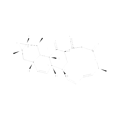 C[C@@H]1C(=O)O[C@@H](C)/C=C/C=C\[C@H]2CC(Cl)(C1=O)C(=O)[C@@H]1[C@H]2C=C[C@@H]2C[C@]3(C)O[C@@H]3[C@@H](C)[C@@H]12